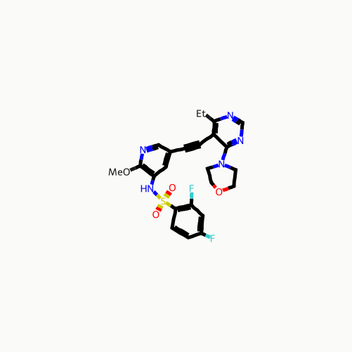 CCc1ncnc(N2CCOCC2)c1C#Cc1cnc(OC)c(NS(=O)(=O)c2ccc(F)cc2F)c1